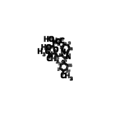 Cc1ccc(-c2nc3ccc(C)cn3c2C=C(OC(O)C(=O)O)N(C)C)cc1